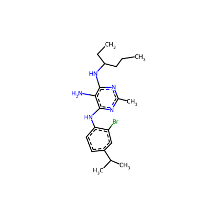 CCCC(CC)Nc1nc(C)nc(Nc2ccc(C(C)C)cc2Br)c1N